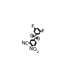 N#Cc1cc(S(=O)(=O)c2cc(F)cc(F)c2)ccc1[N+](=O)[O-]